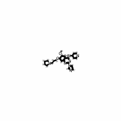 COc1cc2c(Nc3ccncc3)nc(-n3ccnc3)nc2cc1OCCCN1CCCC1